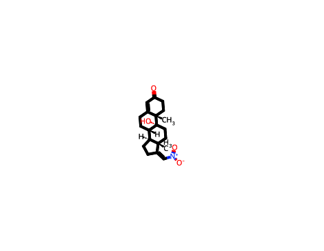 C[C@]12CCC(=O)C=C1CC[C@H]1[C@@H]3CC/C(=C/[N+](=O)[O-])[C@@]3(C)CC[C@@]12O